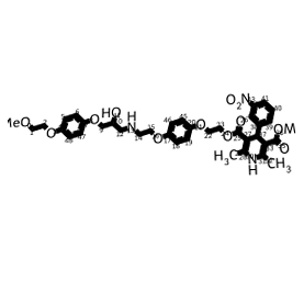 COCCOc1ccc(OCC(O)CNCCOc2ccc(OCCOC(=O)C3=C(C)NC(C)=C(C(=O)OC)C3c3cccc([N+](=O)[O-])c3)cc2)cc1